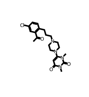 CC(=O)c1cc(Cl)ccc1CCCN1CCN(c2cc(=O)n(C)c(=O)n2C)CC1